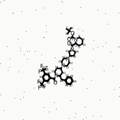 CC(C)(C)OC(=O)N1CCCCC1C(=O)N1CCC(N2CCN(C3CCN(C(=O)c4cc(C(F)(F)F)cc(C(F)(F)F)c4)C(Cc4ccccc4)C3)CC2)C1